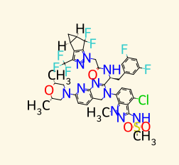 C[C@@H]1CN(c2ccc3c(n2)N=C([C@H](Cc2cc(F)cc(F)c2)NC(=O)Cn2nc(C(F)(F)F)c4c2C(F)(F)[C@@H]2C[C@H]42)N(c2ccc(Cl)c4c(NS(C)(=O)=O)nn(C)c24)C3)C[C@H](C)O1